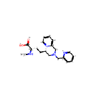 CN[C@@H](CCCCN(Cc1ccccn1)Cc1ccccn1)C(=O)O